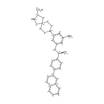 Nc1nc(O[C@H](c2ccc(-c3ccc4ccncc4c3)cc2)C(F)(F)F)cc(N2CCC3(CC2)CNC(C(=O)O)C3)n1